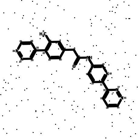 Cc1cc(CC(=O)Nc2ccc(-c3cccnn3)nc2)ccc1-c1ccnnc1